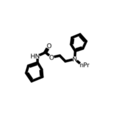 CCCN(CCOC(=O)Nc1ccccc1)c1ccccc1